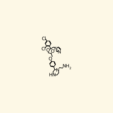 NCCN1CCNCC1c1ccc(OCC2COC(Cn3ccnc3)(c3ccc(Cl)cc3Cl)O2)cc1